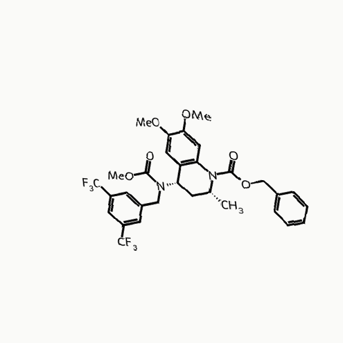 COC(=O)N(Cc1cc(C(F)(F)F)cc(C(F)(F)F)c1)[C@H]1C[C@@H](C)N(C(=O)OCc2ccccc2)c2cc(OC)c(OC)cc21